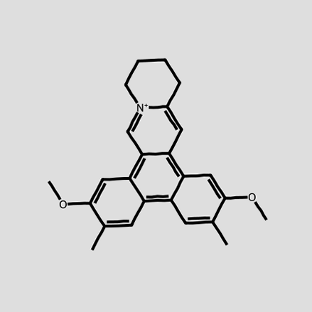 COc1cc2c(cc1C)c1cc(C)c(OC)cc1c1c[n+]3c(cc21)CCCC3